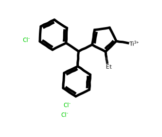 CCC1=[C]([Ti+3])CC=C1C(c1ccccc1)c1ccccc1.[Cl-].[Cl-].[Cl-]